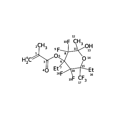 C=C(C)C(=O)OC1(CC)C(F)(F)C(C)(O)OC(CC)(C(F)(F)F)C1(F)F